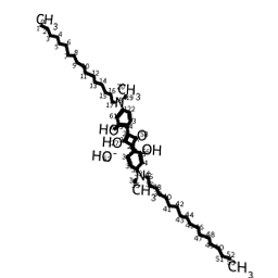 CCCCCCCCCCCCCCCCCCN(CC)c1ccc(C2=C(O)C(=C3C=CC(=[N+](CC)CCCCCCCCCCCCCCCCCC)C=C3O)C2=O)c(O)c1.[OH-]